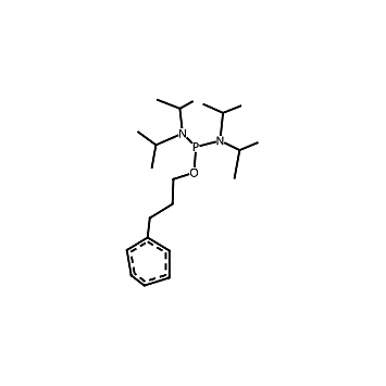 CC(C)N(C(C)C)P(OCCCc1ccccc1)N(C(C)C)C(C)C